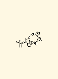 C=CC(=O)NC1CC(Nc2cccc3c2N2CCCCCOc4c(cnn4C)-c4cc(cc(C)n4)C(=O)/N=C/2N3)C1